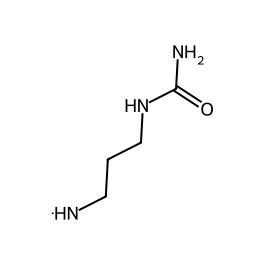 [NH]CCCNC(N)=O